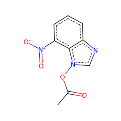 CC(=O)On1cnc2cccc([N+](=O)[O-])c21